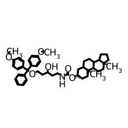 COc1ccc(C(OCCC(O)CCNC(=O)O[C@@H]2CC[C@]3(C)C(CCC4C5CCC[C@]5(C)CCC43)C2)(c2ccccc2)c2ccc(OC)cc2)cc1